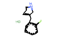 Cl.Fc1ccccc1C1=CCNC1